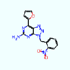 Nc1nc(-c2ccco2)c2nnn(Cc3ccccc3[N+](=O)[O-])c2n1